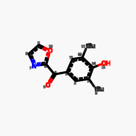 CC(C)(C)c1cc(C(=O)c2ncco2)cc(C(C)(C)C)c1O